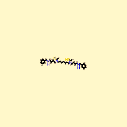 CC(S)N(CCCCCCCN(CCCCNCc1ccccc1)C(C)S)CCCCNCc1ccccc1